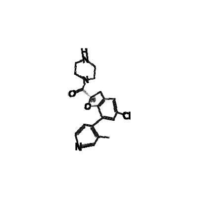 Cc1cnccc1-c1cc(Cl)cc2c1O[C@H](C(=O)N1CCNCC1)C2